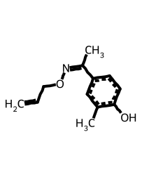 C=CCO/N=C(/C)c1ccc(O)c(C)c1